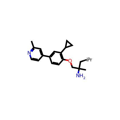 Cc1cc(-c2ccc(OCC(C)(N)CC(C)C)c(C3CC3)c2)ccn1